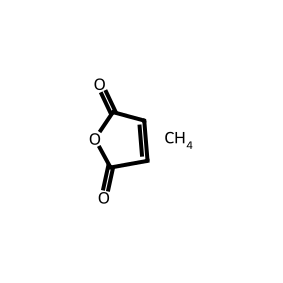 C.O=C1C=CC(=O)O1